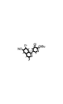 Cc1cc2cc(C#N)c(F)cc2c(-c2cnc(OCC(C)C)c(Cl)c2)n1